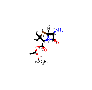 CCOC(=O)OC(C)OC(=O)[C@@H]1N2C(=O)C(N)[C@H]2SC1(C)C